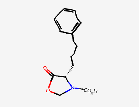 O=C1OCN(C(=O)O)[C@H]1CCCc1ccccc1